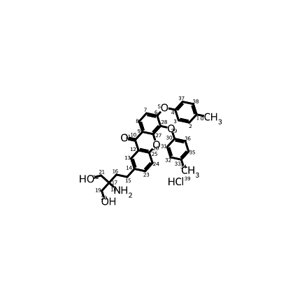 Cc1ccc(Oc2ccc3c(=O)c4cc(CCC(N)(CO)CO)ccc4oc3c2Oc2ccc(C)cc2)cc1.Cl